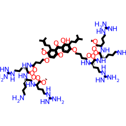 COC(=O)C(CCCNC(=N)N)NC(=O)[C@H](CCCCN)NC(=O)[C@@H](CCCNC(=N)N)NC(=O)CCCOc1cc2oc3cc(OCCCC(=O)N[C@@H](CCCNC(=N)N)C(=O)N[C@H](CCCCN)C(=O)NC(CCCNC(=N)N)C(=O)OC)c(OC)c(CC=C(C)C)c3c(=O)c2c(O)c1CC=C(C)C